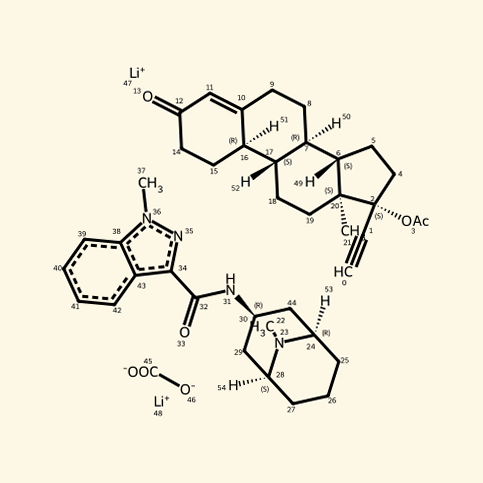 C#C[C@]1(OC(C)=O)CC[C@H]2[C@@H]3CCC4=CC(=O)CC[C@@H]4[C@H]3CC[C@@]21C.CN1[C@@H]2CCC[C@H]1C[C@@H](NC(=O)c1nn(C)c3ccccc13)C2.O=C([O-])[O-].[Li+].[Li+]